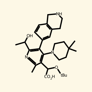 Cc1nc(C(C)O)c(-c2ccc3c(c2)CCNC3)c(N2CCC(C)(C)CC2)c1C(OC(C)(C)C)C(=O)O